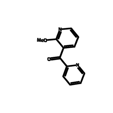 COc1ncccc1C(=O)c1ccccn1